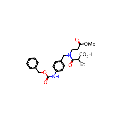 CCC(C(=O)O)C(=O)N(CCC(=O)OC)Cc1ccc(NC(=O)OCc2ccccc2)cc1